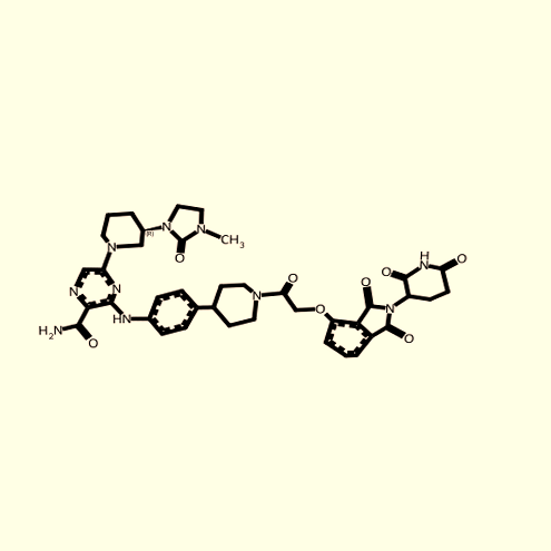 CN1CCN([C@@H]2CCCN(c3cnc(C(N)=O)c(Nc4ccc(C5CCN(C(=O)COc6cccc7c6C(=O)N(C6CCC(=O)NC6=O)C7=O)CC5)cc4)n3)C2)C1=O